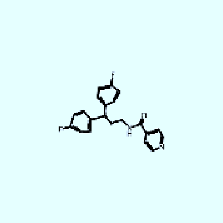 O=C(NCCC(c1ccc(F)cc1)c1ccc(F)cc1)c1ccncc1